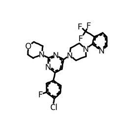 Fc1cc(-c2cc(N3CCN(c4ncccc4C(F)(F)F)CC3)nc(N3CCOCC3)n2)ccc1Cl